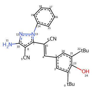 CC(C)(C)c1cc(/C=C(\C#N)c2c(C#N)c(N)nn2-c2ccccc2)cc(C(C)(C)C)c1O